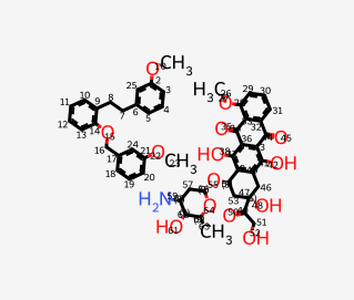 COc1cccc(CCc2ccccc2OCc2cccc(OC)c2)c1.COc1cccc2c1C(=O)c1c(O)c3c(c(O)c1C2=O)C[C@@](O)(C(=O)CO)C[C@@H]3O[C@H]1C[C@H](N)[C@H](O)[C@H](C)O1